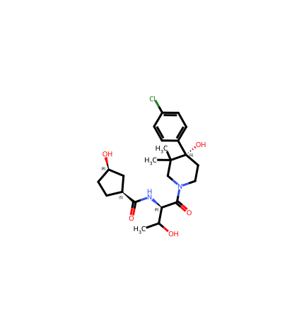 CC(O)[C@@H](NC(=O)[C@H]1CC[C@@H](O)C1)C(=O)N1CC[C@](O)(c2ccc(Cl)cc2)C(C)(C)C1